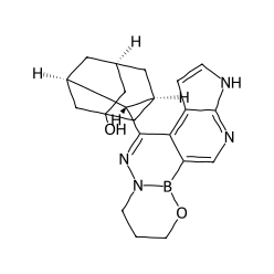 OC12C[C@H]3C[C@H](C1)[C@@H](C1=NN4CCCOB4c4cnc5[nH]ccc5c41)[C@@H](C3)C2